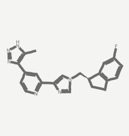 Cc1[nH]nnc1-c1ccnc(-c2cn(C[C@@H]3CCc4ccc(F)cc43)cn2)c1